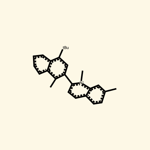 Cc1ccc2ccc(-c3cc(C(C)(C)C)c4ccccc4c3C)[n+](C)c2c1